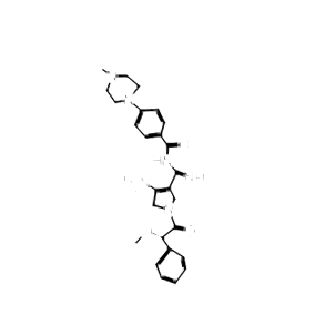 CO[C@@H](C(=O)N1CC(N)=C(C(=N)NC(=O)c2ccc(N3CCN(C)CC3)cc2)C1)c1ccccc1